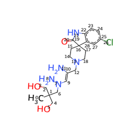 CC(CO)(CO)CN(N)/C=C(\N)CN1CCC2(CC1)C(=O)Nc1ccc(Cl)cc12